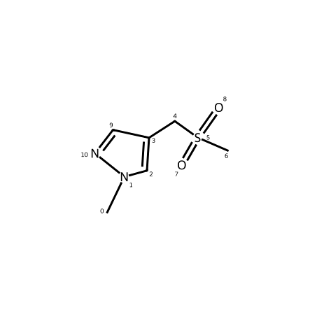 Cn1cc(CS(C)(=O)=O)cn1